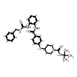 CC(C)(C)OC(=O)N1CCC(Sc2ccc(C(=O)Nc3ccccc3NC(=O)OCc3ccccc3)cc2)CC1